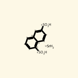 O=S(=O)(O)c1ccc2c(S(=O)(=O)O)cccc2c1.[SrH2]